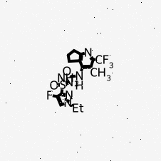 CCn1cc(F)c([S@@](N)(=O)=NC(=O)Nc2c(C)c(C(F)(F)F)nc3c2CCC3)n1